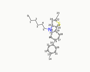 CCCCCCn1c2cc(-c3ccc(C)cc3)ccc2c2sc(C)cc21